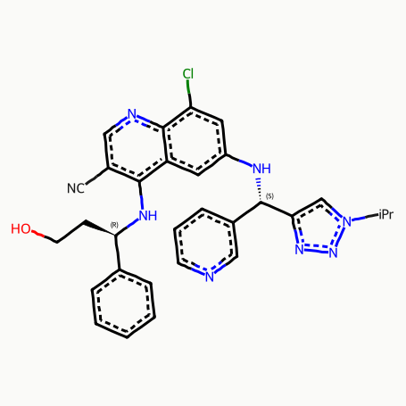 CC(C)n1cc([C@@H](Nc2cc(Cl)c3ncc(C#N)c(N[C@H](CCO)c4ccccc4)c3c2)c2cccnc2)nn1